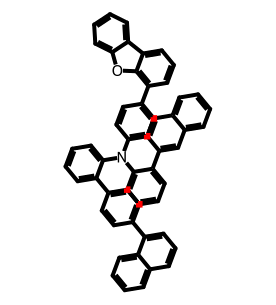 c1ccc(N(c2ccc(-c3cccc4c3oc3ccccc34)cc2)c2ccccc2-c2ccc3ccccc3c2)c(-c2ccc(-c3cccc4ccccc34)cc2)c1